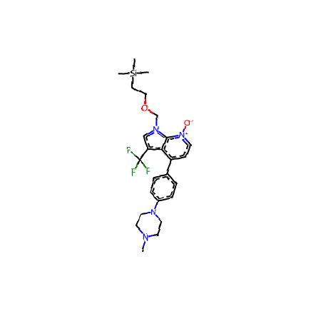 CN1CCN(c2ccc(-c3cc[n+]([O-])c4c3c(C(F)(F)F)cn4COCC[Si](C)(C)C)cc2)CC1